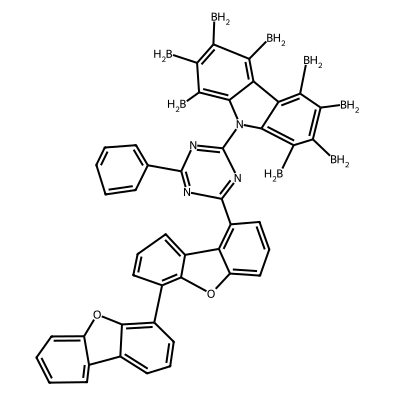 Bc1c(B)c(B)c2c(c1B)c1c(B)c(B)c(B)c(B)c1n2-c1nc(-c2ccccc2)nc(-c2cccc3oc4c(-c5cccc6c5oc5ccccc56)cccc4c23)n1